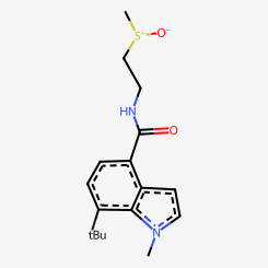 Cn1ccc2c(C(=O)NCC[S+](C)[O-])ccc(C(C)(C)C)c21